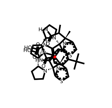 CC(C(N)=O)[C@]1(C)c2csc(n2)[C@]1(C(=O)NC(=O)O)N1CCCC1[C@@H]1CC[C@@H](C2CCCN2[C@@]2(C(=O)NC(=O)O)c3nc(cs3)[C@@]2(C)C(C)C(N)=O)N1c1ccc(C(C)(C)C)cc1